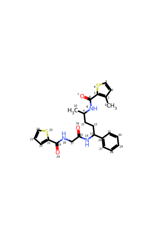 Cc1ccsc1C(=O)NC(C)CCC(NC(=O)CNC(=O)c1cccs1)c1ccccc1